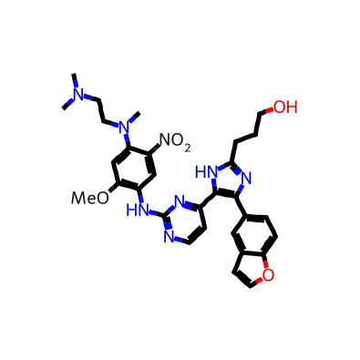 COc1cc(N(C)CCN(C)C)c([N+](=O)[O-])cc1Nc1nccc(-c2[nH]c(CCCO)nc2-c2ccc3occc3c2)n1